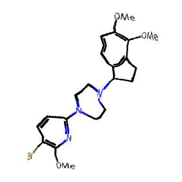 COc1ccc2c(c1OC)CCC2N1CCN(c2ccc(Br)c(OC)n2)CC1